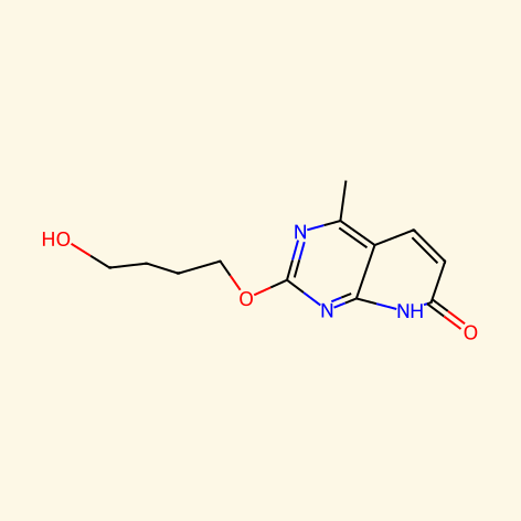 Cc1nc(OCCCCO)nc2[nH]c(=O)ccc12